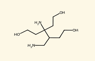 NCC(CCO)C(N)(CCO)CCO